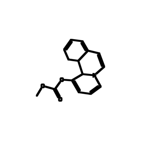 COC(=O)OC1=CC=CN2C=CC3=CC=CCC3C12